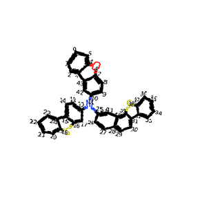 c1ccc2c(c1)oc1ccc(N(c3ccc4c(c3)sc3ccccc34)c3ccc4ccc5c6ccccc6sc5c4c3)cc12